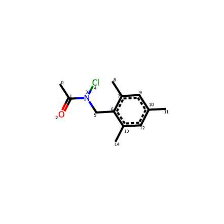 CC(=O)N(Cl)Cc1c(C)cc(C)cc1C